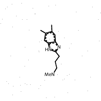 CNCCCc1nc2cc(C)c(C)cc2[nH]1